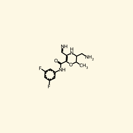 CC1OC(C(=O)Nc2cc(F)cc(F)c2)=C(C=N)NC1CN